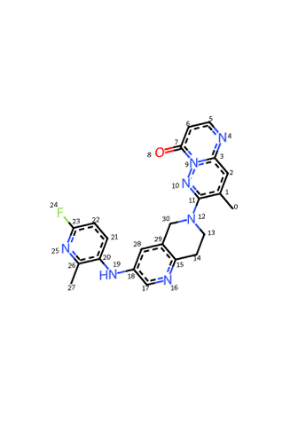 Cc1cc2nccc(=O)n2nc1N1CCc2ncc(Nc3ccc(F)nc3C)cc2C1